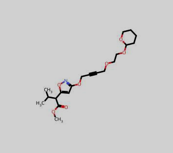 COC(=O)C(c1cc(OCC#CCOCCOC2CCCCO2)no1)C(C)C